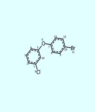 Clc1[c]ccc(Oc2ccc(Br)cc2)c1